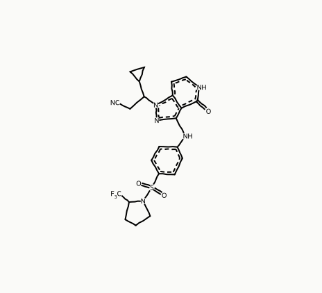 N#CCC(C1CC1)n1nc(Nc2ccc(S(=O)(=O)N3CCCC3C(F)(F)F)cc2)c2c(=O)[nH]ccc21